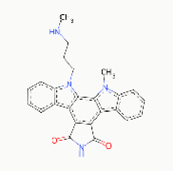 CNCCCn1c2ccccc2c2c3c(c4c5ccccc5n(C)c4c21)C(=O)NC3=O